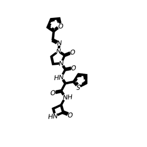 O=C1NCC1NC(=O)C(NC(=O)N1CCN(N=Cc2ccco2)C1=O)c1cccs1